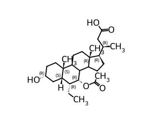 CC[C@H]1[C@@H](OC(C)=O)C2C3CC[C@H]([C@H](C)CC(=O)O)[C@@]3(C)CCC2[C@@]2(C)CC[C@@H](O)C[C@@H]12